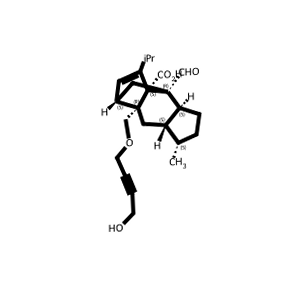 CC(C)C1=C[C@@H]2C[C@@]3(C=O)[C@H]4CC[C@H](C)[C@@H]4C[C@]2(COCC#CCO)[C@@]13C(=O)O